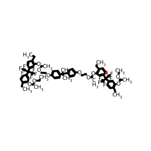 CCOC(C)Oc1cc(C(c2ccc(CC)c(OC(C)OCCOc3ccc(C(C)(C)c4ccc(OCCOC(C)Oc5cc(C(c6ccc(CC)c(OC(C)OCC)c6)(C(F)(F)F)C(F)(F)F)ccc5CC)cc4)cc3)c2)(C(F)(F)F)C(F)(F)F)ccc1CC